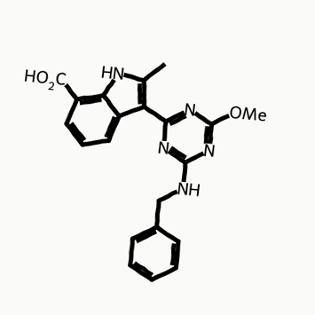 COc1nc(NCc2ccccc2)nc(-c2c(C)[nH]c3c(C(=O)O)cccc23)n1